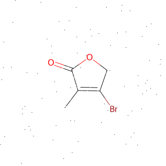 CC1=C(Br)COC1=O